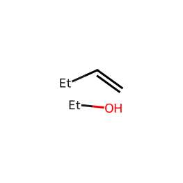 C=CCC.CCO